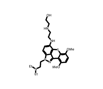 CCN(CC)CCn1nc2c3c(c(NCCNCCO)ccc31)Sc1c(OC)ccc(OC)c1-2